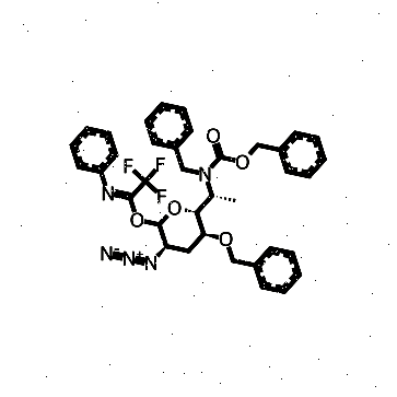 C[C@H]([C@H]1OC(O/C(=N/c2ccccc2)C(F)(F)F)[C@H](N=[N+]=[N-])C[C@@H]1OCc1ccccc1)N(Cc1ccccc1)C(=O)OCc1ccccc1